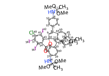 COC(C)(Nc1ccc(C(=CC2(C=C(c3ccc(C)cc3)c3ccc(NC(C)(OC)OC)cc3)OC(=O)c3c(I)c(I)c(Cl)c(I)c32)c2ccc(C)cc2)cc1)OC